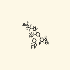 Cc1nc(-c2ccc3c(c2)OC(F)(F)O3)c(-c2cc(-c3cc(F)c(CO)c(S(C)(=O)=O)c3)ccc2-c2cc(C(F)(F)C(=O)NC(C)(C)C)nn2C)o1